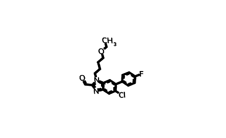 CCOCCCCn1c(C=O)nc2cc(Cl)c(-c3ccc(F)cc3)cc21